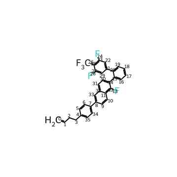 C=CCCc1ccc(-c2ccc3c(F)c(-c4ccccc4-c4cc(F)c(C(F)(F)F)c(F)c4)ccc3c2)cc1